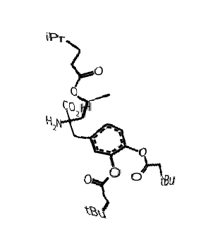 CC(C)CCC(=O)O[C@@H](C)CC(N)(Cc1ccc(OC(=O)CC(C)(C)C)c(OC(=O)CC(C)(C)C)c1)C(=O)O